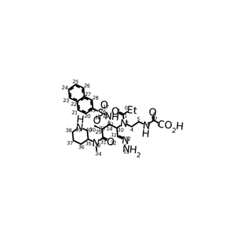 CCC(=O)N(CCNC(=O)C(=O)O)C(C=NN)[C@@H](NS(=O)(=O)c1ccc2ccccc2c1)[C@H](C)C(=O)N(C)C1CCCNC1